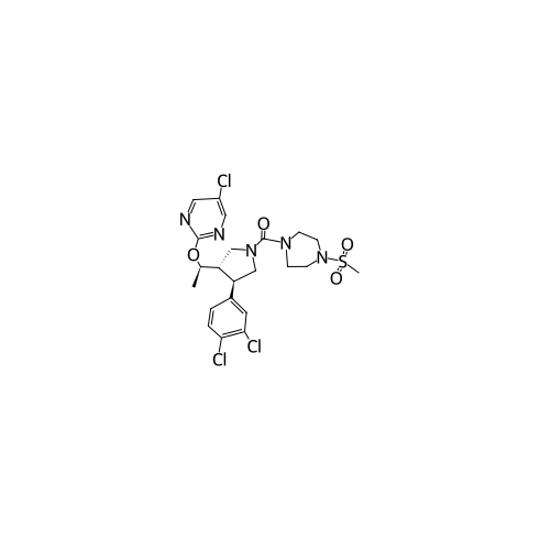 C[C@@H](Oc1ncc(Cl)cn1)[C@@H]1CN(C(=O)N2CCN(S(C)(=O)=O)CC2)C[C@H]1c1ccc(Cl)c(Cl)c1